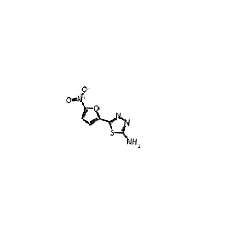 Nc1nnc(-c2ccc([N+](=O)[O-])o2)s1